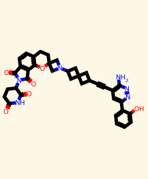 Nc1nnc(-c2ccccc2O)cc1C#CC1CC2(C1)CC(N1CC3(CCc4ccc5c(c4O3)C(=O)N(C3CCC(=O)NC3=O)C5=O)C1)C2